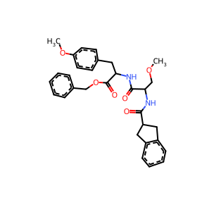 COCC(NC(=O)C1Cc2ccccc2C1)C(=O)NC(Cc1ccc(OC)cc1)C(=O)OCc1ccccc1